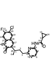 C[C@H](CCc1nccc(NC(=O)C2CC2)n1)c1cc2cc(Cl)c(F)cc2[nH]c1=O